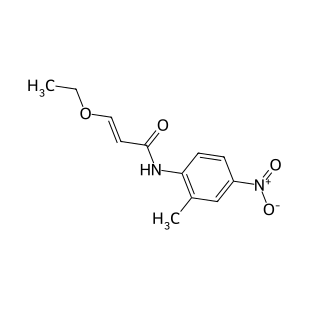 CCOC=CC(=O)Nc1ccc([N+](=O)[O-])cc1C